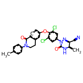 C=C1NC(=O)N(c2cc(Cl)c(Oc3ccc4c(c3)CCN(c3ccc(C)cc3)C4=O)c(Cl)c2)N=C1C#N